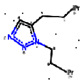 CC(C)CCc1cnnn1CCC(C)C